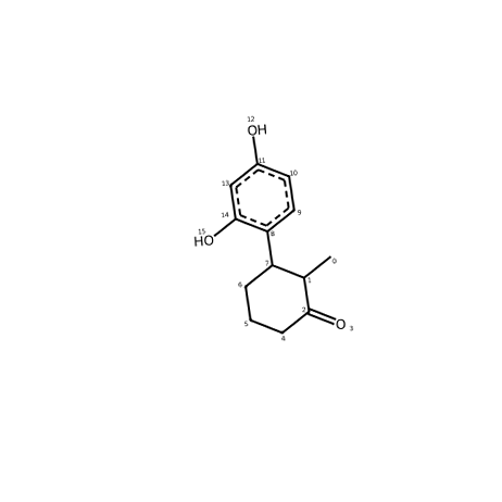 CC1C(=O)CCCC1c1ccc(O)cc1O